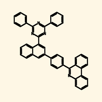 c1ccc(-c2nc(-c3ccccc3)nc(-c3cc(-c4ccc(-c5nc6ccccc6c6ccccc56)cc4)cc4ccccc34)n2)cc1